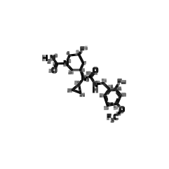 NC(=O)N1C[C@@H](F)C[C@@H](N(C(=O)NCc2ccc(OC(F)(F)F)cc2F)C2CC2)C1